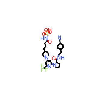 N#Cc1ccc(CCNC(=O)C2CCCN2c2cc(N3CCC(CCCC(=O)NCS(=O)(=O)O)CC3)cc(C(F)(F)F)n2)cc1